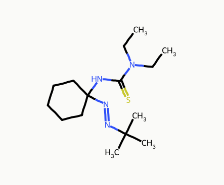 CCN(CC)C(=S)NC1(N=NC(C)(C)C)CCCCC1